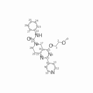 COCCOc1nc(-c2ccncc2)nc2c1CN(C(=O)Nc1ccccc1)CC2